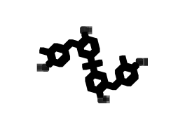 Cc1cc(Cc2cc(C(C)(C)c3ccc(O)c(Cc4ccc(O)c(C)c4)c3)ccc2O)ccc1O